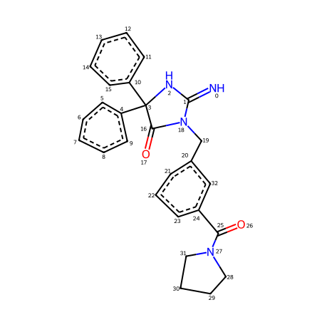 N=C1NC(c2ccccc2)(c2ccccc2)C(=O)N1Cc1cccc(C(=O)N2CCCC2)c1